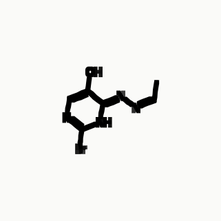 C/C=N\N=c1/[nH]c(Br)ncc1O